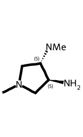 CN[C@H]1CN(C)C[C@@H]1N